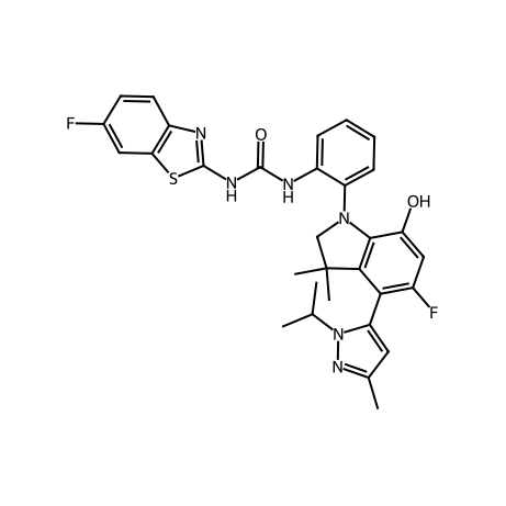 Cc1cc(-c2c(F)cc(O)c3c2C(C)(C)CN3c2ccccc2NC(=O)Nc2nc3ccc(F)cc3s2)n(C(C)C)n1